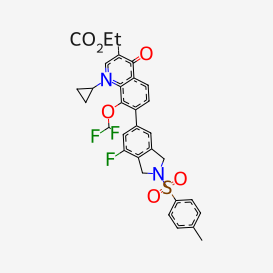 CCOC(=O)c1cn(C2CC2)c2c(OC(F)F)c(-c3cc(F)c4c(c3)CN(S(=O)(=O)c3ccc(C)cc3)C4)ccc2c1=O